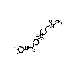 C=CC(=O)NCC1CCN(S(=O)(=O)c2ccc(C(=O)NCc3ccc(F)c(F)c3)cc2)CC1